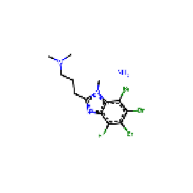 CN(C)CCCc1nc2c(Br)c(Br)c(Br)c(Br)c2n1C.N